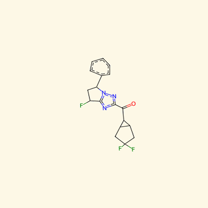 O=C(c1nc2n(n1)C(c1ccccc1)CC2F)C1C2CC(F)(F)CC21